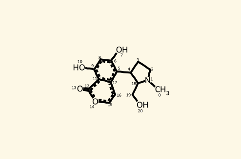 CN1CCC(c2c(O)cc(O)c3c(=O)occc23)C1CO